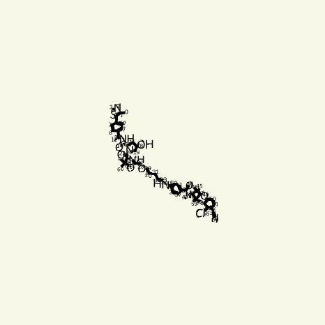 Cc1ncsc1-c1ccc([C@H](C)NC(=O)[C@@H]2C[C@@H](O)CN2C(=O)[C@@H](NC(=O)COCCCCCNc2ccc(C(=O)N(C)[C@H]3C(C)(C)[C@H](Oc4ccc(C#N)c(Cl)c4)C3(C)C)cc2)C(C)(C)C)cc1